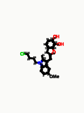 COc1ccc2c(c1)c(C=C1Cc3ccc(O)c(O)c3O1)c(C)n2CCCCCl